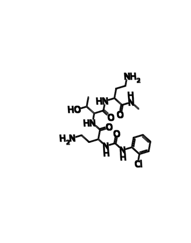 CNC(=O)C(CCN)NC(=O)C(NC(=O)C(CCN)NC(=O)Nc1ccccc1Cl)C(C)O